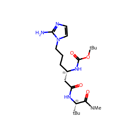 CNC(=O)[C@@H](NC(=O)C[C@H](CCCn1ccnc1N)NC(=O)OC(C)(C)C)C(C)(C)C